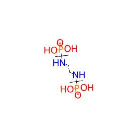 CC(C)(NCCNC(C)(C)P(=O)(O)O)P(=O)(O)O